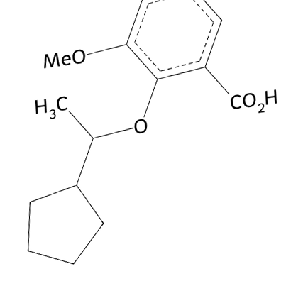 COc1cccc(C(=O)O)c1OC(C)C1CCCC1